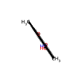 CCCCCCCCCCCCCCCCCCCC(=O)CCCCCCCCCCCCCCCC(=O)NC[C@H](O)CCCCCCCCCCCCCCCC